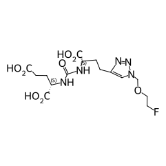 O=C(O)CC[C@H](NC(=O)N[C@@H](CCc1cn(COCCF)nn1)C(=O)O)C(=O)O